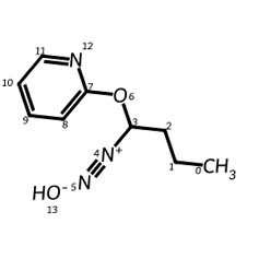 CCCC([N+]#N)Oc1ccccn1.[OH-]